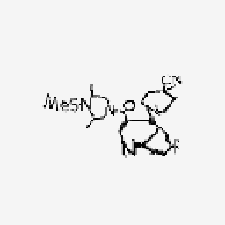 CSN1C(C)CN(C(=O)c2cnc3ccc(F)cc3c2N2CCC(C)(C#N)CC2)CC1C